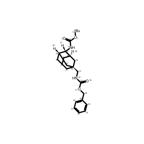 CC(C)(C)OC(=O)N[C@@H]1[C@@H]2CC3C[C@H]1C[C@@](CNC(=O)OCc1ccccc1)(C3)C2